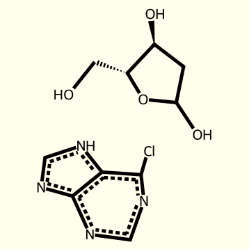 Clc1ncnc2nc[nH]c12.OC[C@H]1OC(O)C[C@@H]1O